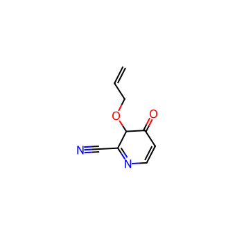 C=CCOC1C(=O)C=CN=C1C#N